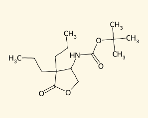 CCCC1(CCC)C(=O)OCC1NC(=O)OC(C)(C)C